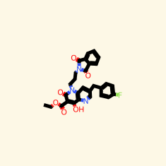 CCOC(=O)c1c(O)c2ncc(Cc3ccc(F)cc3)cc2n(CCCN2C(=O)c3ccccc3C2=O)c1=O